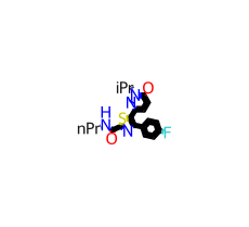 CCCNC(=O)c1nc(-c2ccc(F)cc2)c(-c2ccc(=O)n(C(C)C)n2)s1